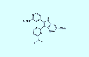 COc1cnc2c(-c3cccc(C(F)F)n3)c(-c3ccnc(NC(C)=O)c3)[nH]c2c1